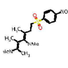 CNC(=C(/C)CCS(=O)(=O)c1ccc([N+](=O)[O-])cc1)/C(C)=C(\C)NC